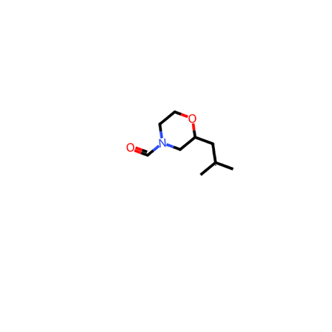 C[C](C)CC1CN(C=O)CCO1